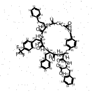 O=C1CCC(=O)N[C@H](CCc2ccccc2)C(=O)N[C@@H](Cc2ccc(C(F)(F)F)cc2)C(=O)N[C@H](Cc2ccccc2)C(=O)N[C@H](C(=O)N[C@@H](Cc2ccccc2)C(=O)O)Cc2ccc(cc2)N1